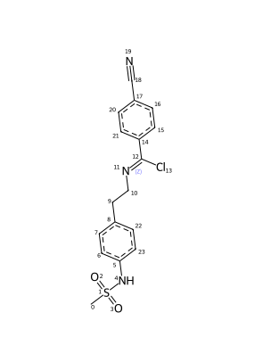 CS(=O)(=O)Nc1ccc(CC/N=C(\Cl)c2ccc(C#N)cc2)cc1